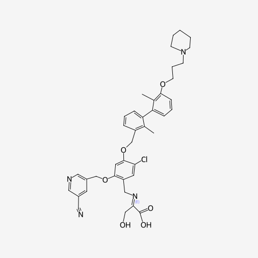 Cc1c(COc2cc(OCc3cncc(C#N)c3)c(C/N=C(\CO)C(=O)O)cc2Cl)cccc1-c1cccc(OCCCN2CCCCC2)c1C